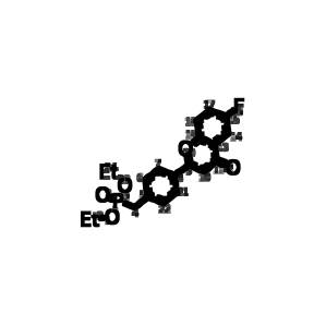 CCOP(=O)(Cc1ccc(-c2cc(=O)c3cc(F)ccc3o2)cc1)OCC